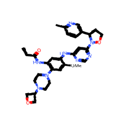 C=CC(=O)Nc1cc(Nc2cc(N3OCCC3c3ccc(C)nc3)ncn2)c(OC)cc1N1CCN(C2COC2)CC1